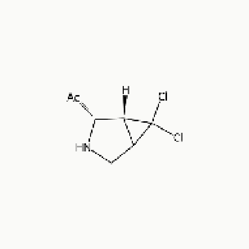 CC(=O)[C@H]1NCC2[C@H]1C2(Cl)Cl